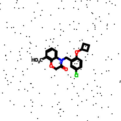 O=C(O)c1cccc2c1OCC(=O)N2Cc1cc(Cl)ccc1OC1CCC1